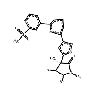 [2H]C1C([2H])[C@@](O)(c2cc(-c3cccc(-c4ccnc(S(C)(=O)=O)n4)n3)no2)C(=O)N1C